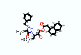 CC(SCc1ccccc1)C(=O)NC(CC(=O)O)C(=O)COC(=O)Cc1cccc2ccccc12